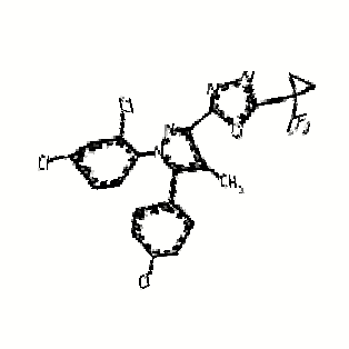 Cc1c(-c2nnc(C3(C(F)(F)F)CC3)o2)nn(-c2ccc(Cl)cc2Cl)c1-c1ccc(Cl)cc1